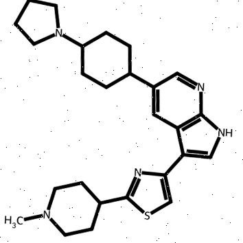 CN1CCC(c2nc(-c3c[nH]c4ncc(C5CCC(N6CCCC6)CC5)cc34)cs2)CC1